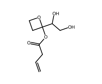 C=CCC(=O)OC1(C(O)CO)CCO1